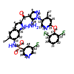 Cc1cc2cc(C(=O)c3cnn(-c4cnc(Oc5c(F)cccc5F)cc4C)c3N)[nH]c2cc1NS(=O)(=O)c1cncc(F)c1